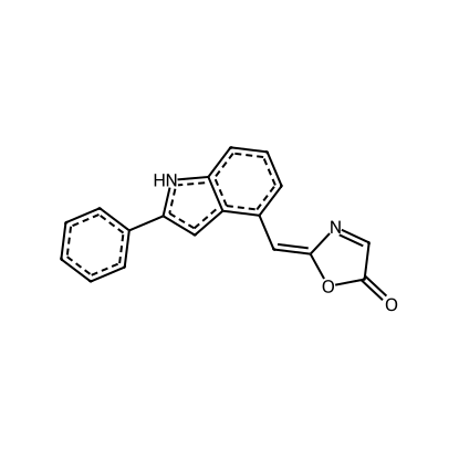 O=C1C=NC(=Cc2cccc3[nH]c(-c4ccccc4)cc23)O1